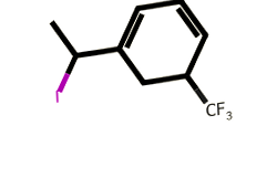 CC(I)C1=CC=CC(C(F)(F)F)C1